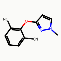 Cn1[c]cc(Oc2c(C#N)cccc2C#N)n1